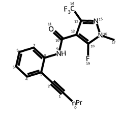 CCCC#Cc1ccccc1NC(=O)c1c(C(F)(F)F)nn(C)c1F